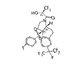 O=C([C@@H](O)C(F)(F)F)N1CC[C@@]2(S(=O)(=O)c3ccc(I)cc3)c3ccc(C(F)(C(F)(F)F)C(F)(F)F)cc3CC[C@@H]12